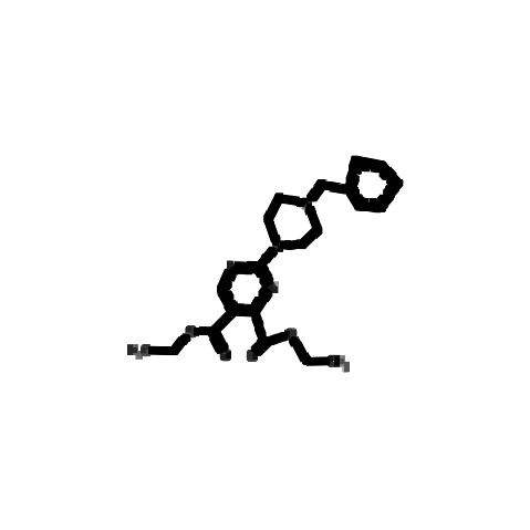 CCOC(=O)c1cnc(N2CCN(Cc3ccccc3)CC2)nc1C(=O)OCC